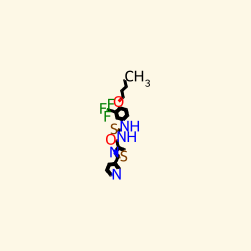 CCCCCOc1ccc(NC(=S)NC(=O)c2csc(-c3cccnc3)n2)cc1C(F)(F)F